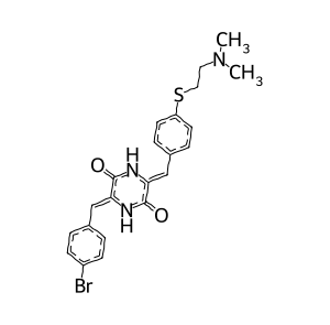 CN(C)CCSc1ccc(/C=c2\[nH]c(=O)/c(=C/c3ccc(Br)cc3)[nH]c2=O)cc1